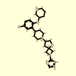 Fc1ccc(OC2CCCOC2)c(C2CCN(C3COC4(C3)CN(c3nnco3)C4)CC2)c1